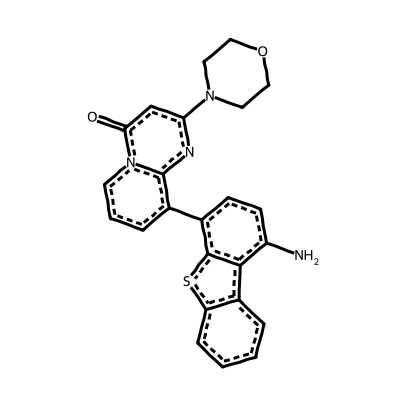 Nc1ccc(-c2cccn3c(=O)cc(N4CCOCC4)nc23)c2sc3ccccc3c12